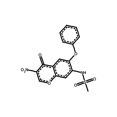 CS(=O)(=O)Nc1cc2occ([N+](=O)[O-])c(=O)c2cc1Oc1ccccc1